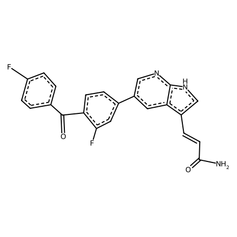 NC(=O)C=Cc1c[nH]c2ncc(-c3ccc(C(=O)c4ccc(F)cc4)c(F)c3)cc12